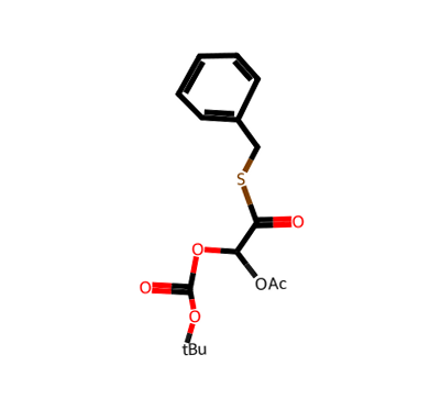 CC(=O)OC(OC(=O)OC(C)(C)C)C(=O)SCc1ccccc1